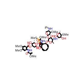 C=C(OC)C(=O)Nc1cc(OC)c(OC)cc1C(=O)O[C@H]1C[C@H](O[C@@H]2C(=O)C(NC(=O)OC)=C3/C(=C\CSSSC)[C@]2(O)C#C/C=C\C#C[C@@H]3O[C@@H]2O[C@H](C)[C@@H](NO[C@H]3C[C@H](O)[C@H](SC)[C@@H](C)O3)[C@H](O)C2O[C@H]2C[C@H](OC)[C@@H](NC(C)C)CO2)O[C@@H](C)[C@@H]1O